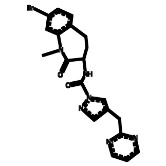 CN1C(=O)C(NC(=O)n2cc(Cc3ncccn3)cn2)CCc2ccc(Br)cc21